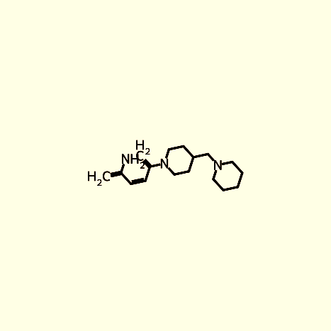 C=C(N)/C=C\C(=C)N1CCC(CN2CCCCC2)CC1